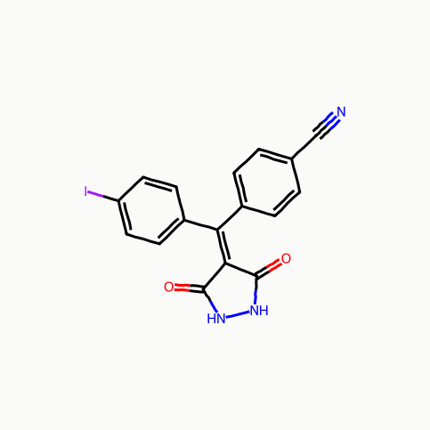 N#Cc1ccc(C(=C2C(=O)NNC2=O)c2ccc(I)cc2)cc1